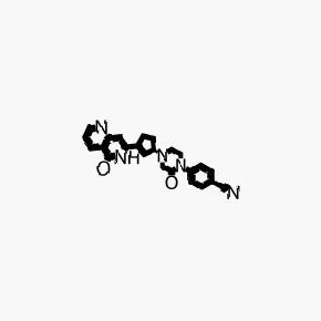 N#Cc1ccc(N2CCN([C@H]3C=C(c4cc5ncccc5c(=O)[nH]4)CC3)CC2=O)cc1